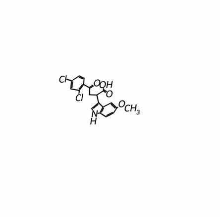 COc1ccc2[nH]cc(C(CC(=O)c3ccc(Cl)cc3Cl)C(=O)O)c2c1